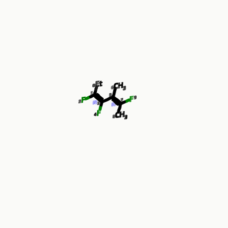 CC/C(F)=C(F)\C(C)=C(/C)F